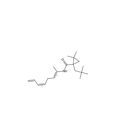 C=C/C=C\C/C=C(\C)NC(=O)C1(CC(C)(C)C)CC1(C)C